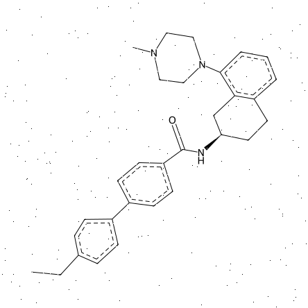 CCc1ccc(-c2ccc(C(=O)N[C@@H]3CCc4cccc(N5CCN(C)CC5)c4C3)cc2)cc1